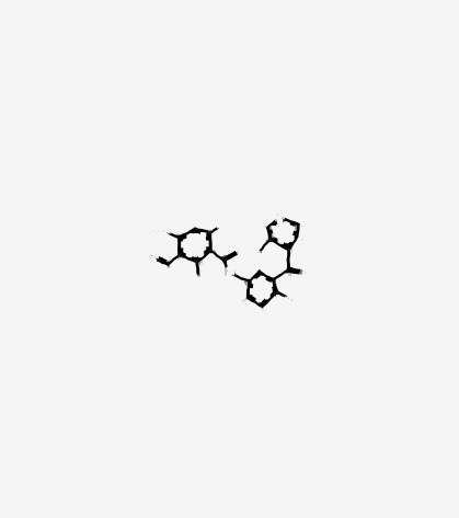 CNc1cc(F)c(C(=O)Nc2ccc(N)c(C(=N)c3ccncc3C)c2)c(F)c1C=N